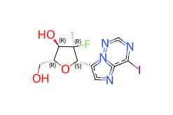 C[C@@]1(F)[C@H](O)[C@@H](CO)O[C@H]1c1cnc2c(I)ncnn12